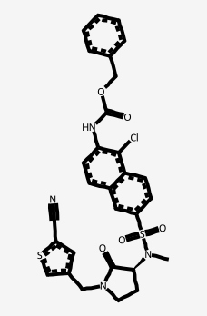 CN([C@H]1CCN(Cc2csc(C#N)c2)C1=O)S(=O)(=O)c1ccc2c(Cl)c(NC(=O)OCc3ccccc3)ccc2c1